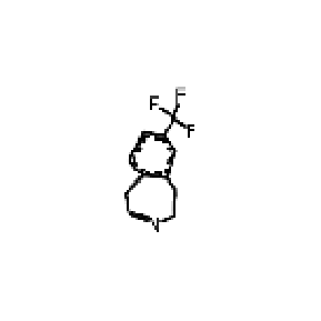 FC(F)(F)c1ccc2c(c1)CCN=CC2